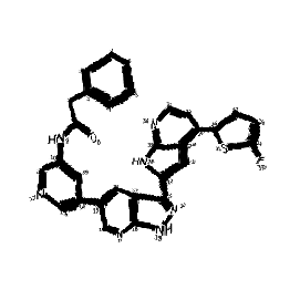 O=C(Cc1ccccc1)Nc1cncc(-c2cnc3[nH]nc(-c4cc5c(-c6ccc(F)s6)ccnc5[nH]4)c3c2)c1